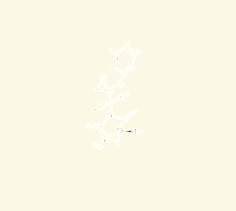 C=C1[C@@H]2C[C@]2(N)C(=O)N1S(=O)(=O)C1(Cc2ccccc2)CC1